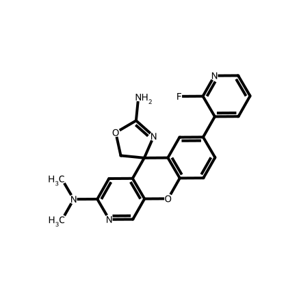 CN(C)c1cc2c(cn1)Oc1ccc(-c3cccnc3F)cc1C21COC(N)=N1